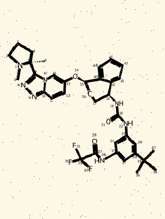 CN1CCC[C@@]1(C)c1nnc2ccc(O[C@@H]3CC[C@H](NC(=O)Nc4cc(NC(=O)C(F)(F)F)cc(C(C)(C)C)c4)c4ccccc43)cn12